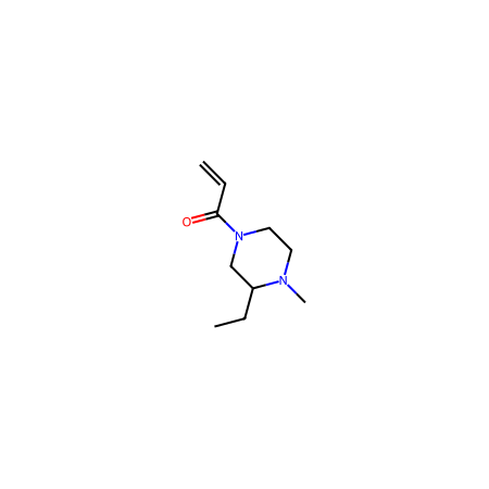 C=CC(=O)N1CCN(C)C(CC)C1